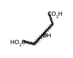 O=C(O)CCCCCCC/C=C\CCCCCCCCCC(O)CCCCCCCCC/C=C\CCCCCCCC(=O)O